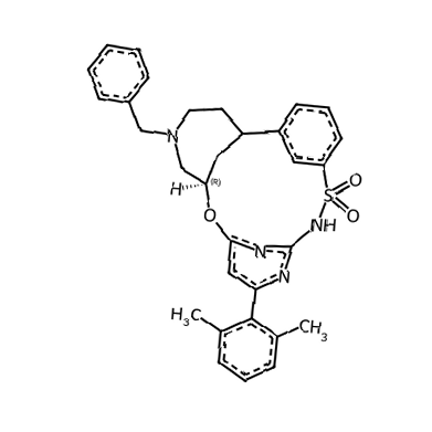 Cc1cccc(C)c1-c1cc2nc(n1)NS(=O)(=O)c1cccc(c1)C1CCN(Cc3ccccc3)C[C@@H](C1)O2